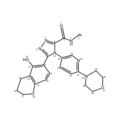 CC(C)NC(=O)c1nnc(-c2ccc3c(c2O)CCCO3)n1-c1ccc(N2CCOCC2)nc1